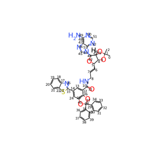 CC1(C)OC2[C@@H](/C=C/CNC(=O)c3cc(-c4nc5ccccc5s4)cc4c3OC(c3ccccc3)(c3ccccc3)O4)O[C@@H](n3cnc4c(N)ncnc43)[C@H]2O1